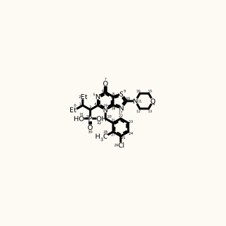 CCC(CC)C(c1nc(=O)c2sc(N3CCOCC3)nc2n1Cc1cccc(Cl)c1C)P(=O)(O)O